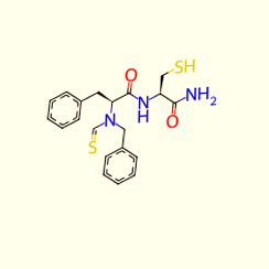 NC(=O)[C@H](CS)NC(=O)[C@H](Cc1ccccc1)N(C=S)Cc1ccccc1